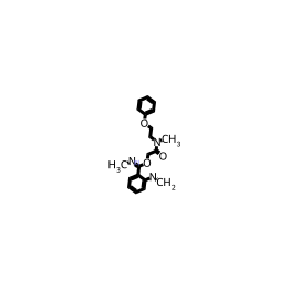 C=Nc1ccccc1/C(=N\C)OCC(=O)N(C)CCOc1ccccc1